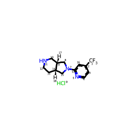 Cl.FC(F)(F)c1ccnc(N2C[C@H]3CNCC[C@H]3C2)c1